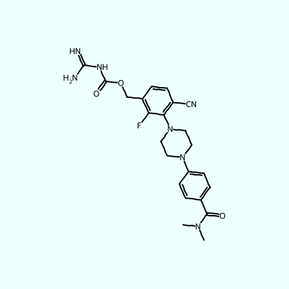 CN(C)C(=O)c1ccc(N2CCN(c3c(C#N)ccc(COC(=O)NC(=N)N)c3F)CC2)cc1